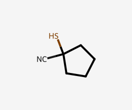 N#CC1(S)CCCC1